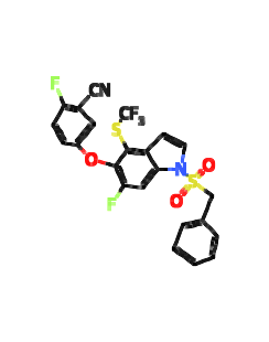 N#Cc1cc(Oc2c(F)cc3c(ccn3S(=O)(=O)Cc3ccccc3)c2SC(F)(F)F)ccc1F